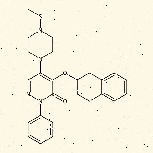 CSN1CCN(c2cnn(-c3ccccc3)c(=O)c2OC2CCc3ccccc3C2)CC1